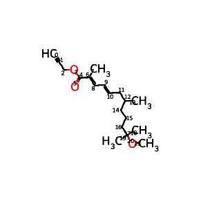 C#CCOC(=O)/C(C)=C/C=C/CC(C)CCCC(C)(C)OC